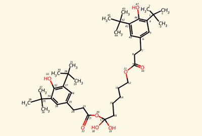 CC(C)(C)c1cc(CCC(=O)OCCCCCC(O)(O)OC(=O)CCc2cc(C(C)(C)C)c(O)c(C(C)(C)C)c2)cc(C(C)(C)C)c1O